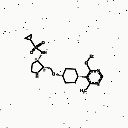 CCOc1ncnc(C)c1[C@H]1CC[C@@H](OC[C@@H]2NCC[C@@H]2NS(=O)(=O)C2CC2)CC1